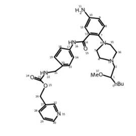 CCCCC(CN1CCN(c2ccc(N)cc2C(=O)Nc2ccc(CNC(=O)OCc3cccnc3)cc2)CC1)OC